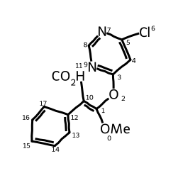 COC(Oc1cc(Cl)ncn1)=C(C(=O)O)c1ccccc1